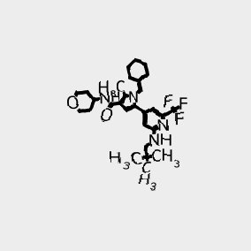 Cc1c(C(=O)NC2CCOCC2)cc(-c2cc(NCC(C)(C)C)nc(C(F)(F)F)c2)n1CC1CCCCC1